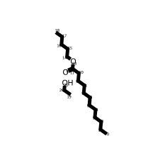 CCCCCCCCCCCC(=O)OCCCCC.CCO